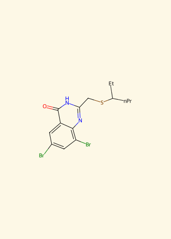 CCCC(CC)SCc1nc2c(Br)cc(Br)cc2c(=O)[nH]1